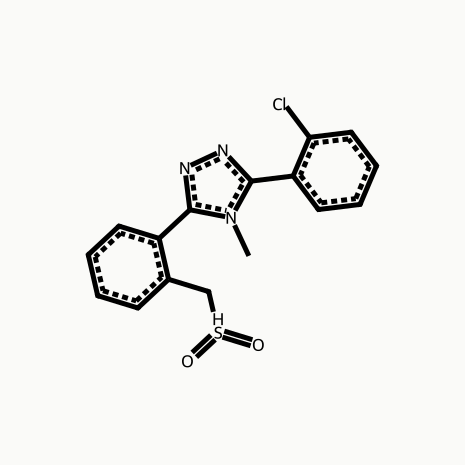 Cn1c(-c2ccccc2Cl)nnc1-c1ccccc1C[SH](=O)=O